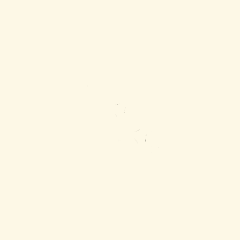 CCCC1CCC(c2ccc(CCc3c(C)cc(C4CO4)c(F)c3F)cc2)CC1